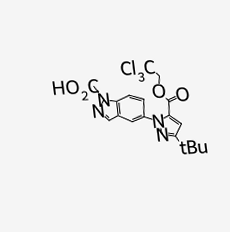 CC(C)(C)c1cc(C(=O)OCC(Cl)(Cl)Cl)n(-c2ccc3c(cnn3C(=O)O)c2)n1